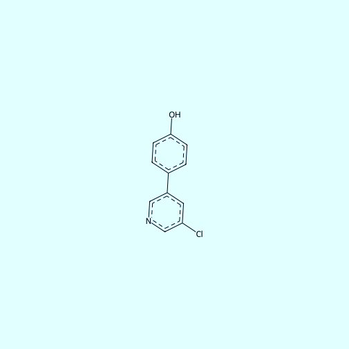 Oc1ccc(-c2cncc(Cl)c2)cc1